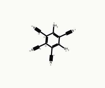 Bc1c(C#N)c(B)c(C#N)c(C#N)c1C#N